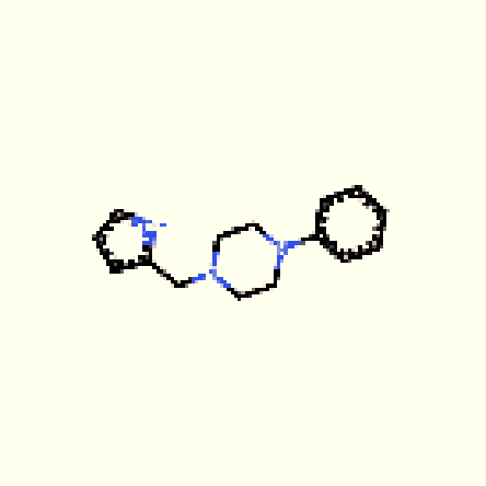 [c]1ccc(N2CCN(Cc3ccc[nH]3)CC2)cc1